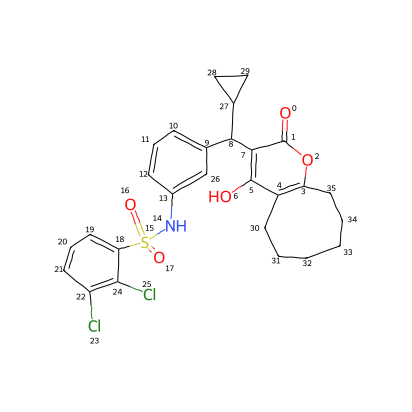 O=c1oc2c(c(O)c1C(c1cccc(NS(=O)(=O)c3cccc(Cl)c3Cl)c1)C1CC1)CCCCCC2